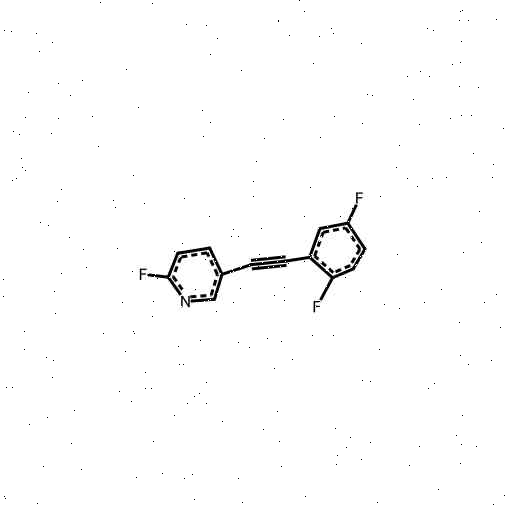 Fc1ccc(F)c(C#Cc2ccc(F)nc2)c1